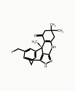 CC1(C)CC(=O)C2=C(C1)Nc1n[nH]c(C3CC3)c1[C@]2(C)c1cccc(CF)c1